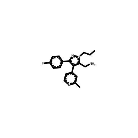 CCCn1nc(-c2ccc(F)cc2)c(-c2ccnc(C)c2)c1CN